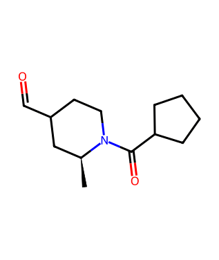 C[C@H]1CC(C=O)CCN1C(=O)C1CCCC1